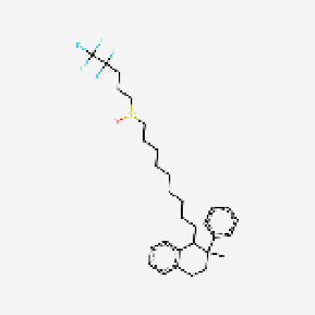 CC1(c2ccccc2)CCc2ccccc2C1CCCCCCCCC[S+]([O-])CCCC(F)(F)C(F)(F)F